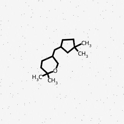 CC1(C)CCC(CC2CCC(C)(C)OC2)C1